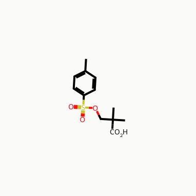 Cc1ccc(S(=O)(=O)OCC(C)(C)C(=O)O)cc1